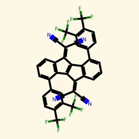 N#CC(C#N)=C1C2=C(C(=C(C#N)C#N)c3cccc(-c4ccc(C(F)(F)F)c(C(F)(F)F)c4)c32)c2c1cccc2-c1ccc(C(F)(F)F)c(C(F)(F)F)c1